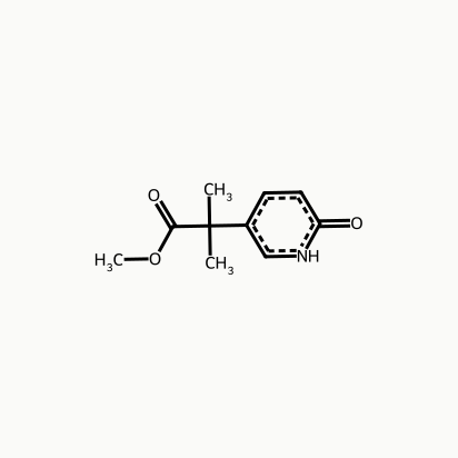 COC(=O)C(C)(C)c1ccc(=O)[nH]c1